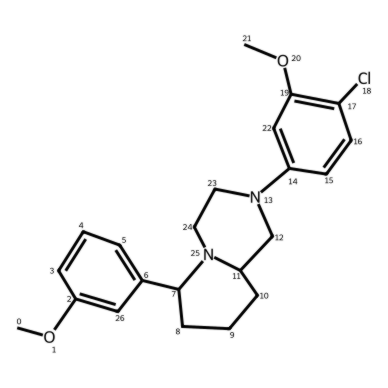 COc1cccc(C2CCCC3CN(c4ccc(Cl)c(OC)c4)CCN32)c1